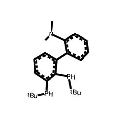 CN(C)c1ccccc1-c1cccc(PC(C)(C)C)c1PC(C)(C)C